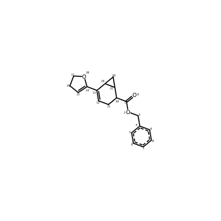 O=C(OCc1ccccc1)C1CC=C(C2=CCCO2)C2CC12